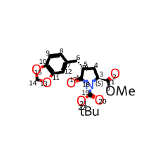 COC(=O)[C@@H]1C[C@@H](Cc2ccc3c(c2)OCO3)C(=O)N1C(=O)OC(C)(C)C